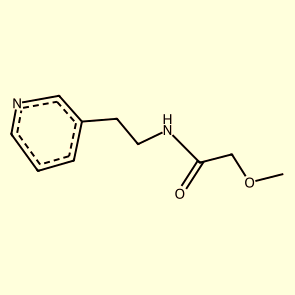 COCC(=O)NCCc1cccnc1